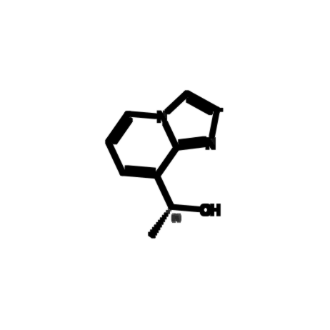 C[C@@H](O)c1cccn2c[c]nc12